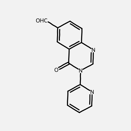 O=Cc1ccc2ncn(-c3ccccn3)c(=O)c2c1